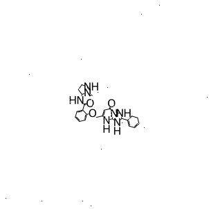 CN1NCCC1NC(=O)c1ccccc1OCC1=CC(=O)N2NC(C3=CC=CCC3)NC2N1